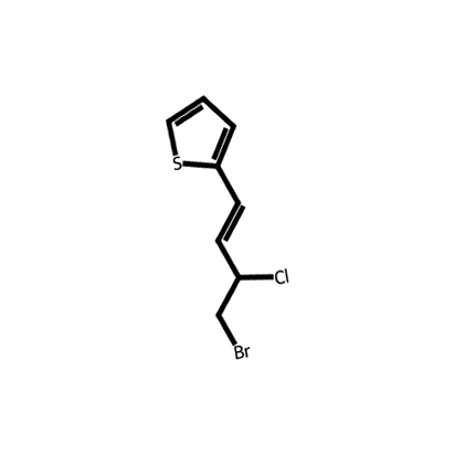 ClC(C=Cc1cccs1)CBr